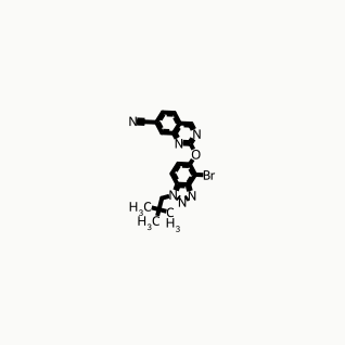 CC(C)(C)Cn1nnc2c(Br)c(Oc3ncc4ccc(C#N)cc4n3)ccc21